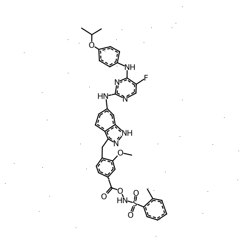 COc1cc(C(=O)ONS(=O)(=O)c2ccccc2C)ccc1Cc1n[nH]c2cc(Nc3ncc(F)c(Nc4ccc(OC(C)C)cc4)n3)ccc12